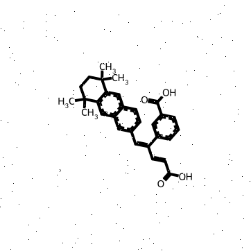 CC1(C)CCC(C)(C)c2cc3cc(/C=C(/C=CC(=O)O)c4cccc(C(=O)O)c4)ccc3cc21